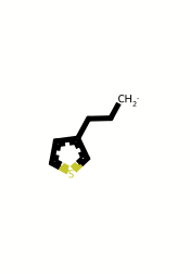 [CH2]CCc1ccsc1